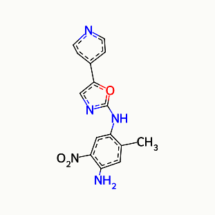 Cc1cc(N)c([N+](=O)[O-])cc1Nc1ncc(-c2ccncc2)o1